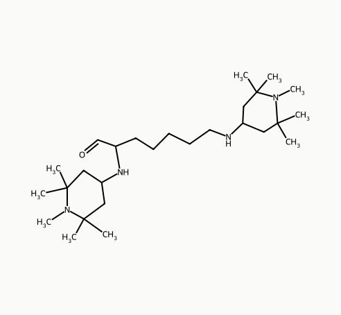 CN1C(C)(C)CC(NCCCCCC(C=O)NC2CC(C)(C)N(C)C(C)(C)C2)CC1(C)C